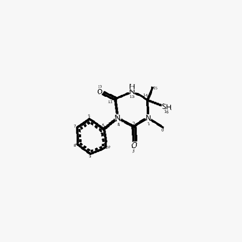 CN1C(=O)N(c2ccccc2)C(=O)NC1(C)S